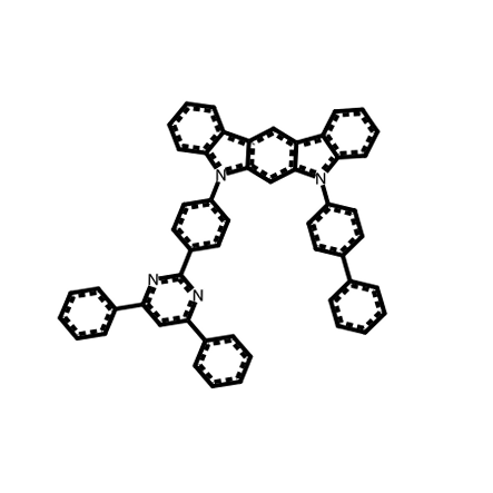 c1ccc(-c2ccc(-n3c4ccccc4c4cc5c6ccccc6n(-c6ccc(-c7nc(-c8ccccc8)cc(-c8ccccc8)n7)cc6)c5cc43)cc2)cc1